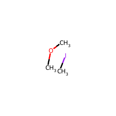 CI.COC